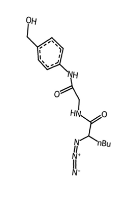 CCCCC(N=[N+]=[N-])C(=O)NCC(=O)Nc1ccc(CO)cc1